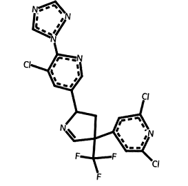 FC(F)(F)C1(c2cc(Cl)nc(Cl)c2)C=NC(c2cnc(-n3cncn3)c(Cl)c2)C1